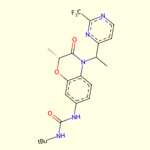 CC(c1ccnc(C(F)(F)F)n1)N1C(=O)[C@@H](C)Oc2cc(NC(=O)NC(C)(C)C)ccc21